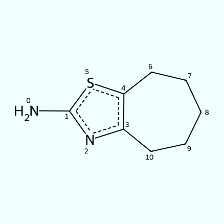 Nc1nc2c(s1)CCCCC2